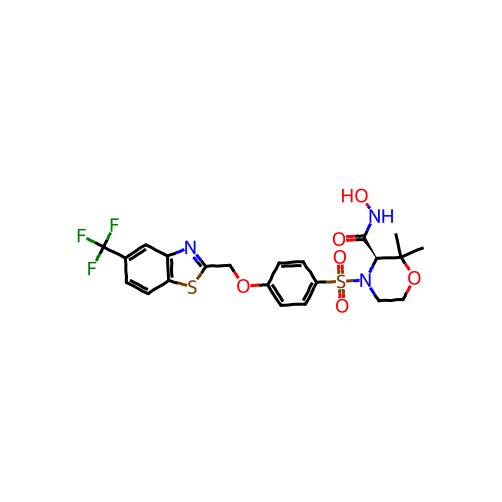 CC1(C)OCCN(S(=O)(=O)c2ccc(OCc3nc4cc(C(F)(F)F)ccc4s3)cc2)[C@H]1C(=O)NO